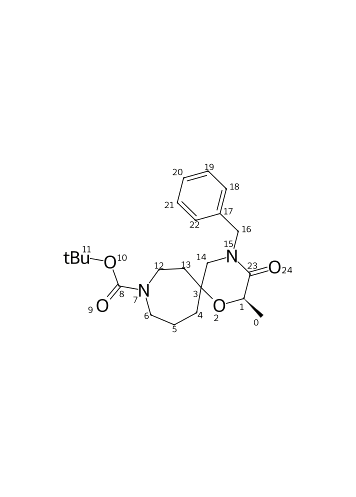 C[C@H]1OC2(CCCN(C(=O)OC(C)(C)C)CC2)CN(Cc2ccccc2)C1=O